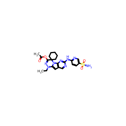 CCN1N=C(OC(C)=O)C2(CCCCC2)n2c1cc1cnc(Nc3ccc(S(N)(=O)=O)cn3)nc12